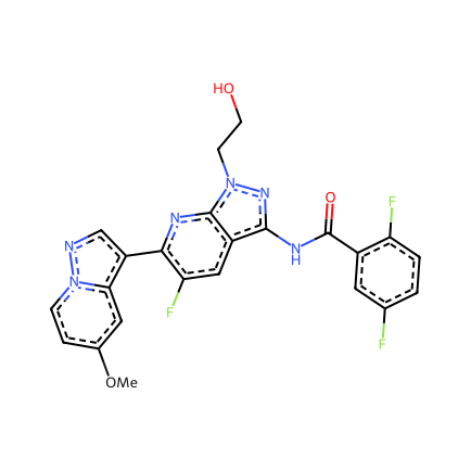 COc1ccn2ncc(-c3nc4c(cc3F)c(NC(=O)c3cc(F)ccc3F)nn4CCO)c2c1